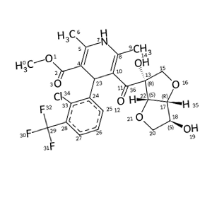 COC(=O)C1=C(C)NC(C)=C(C(=O)[C@@]2(O)CO[C@@H]3[C@@H](O)CO[C@@H]32)C1c1cccc(C(F)(F)F)c1Cl